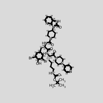 CC(C)(C)OC(=O)NCCCC[C@H](NC(=O)[C@@H](Cc1cc(Br)c(O)c(Br)c1)NC(=O)N1CCC(n2c(=O)[nH]c3cccnc32)CC1)C(=O)N1CCN(c2ccncc2)CC1